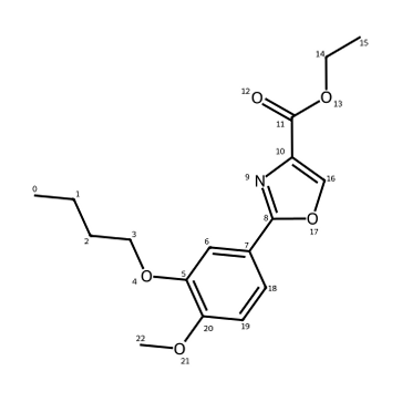 CCCCOc1cc(-c2nc(C(=O)OCC)co2)ccc1OC